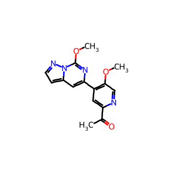 COc1cnc(C(C)=O)cc1-c1cc2ccnn2c(OC)n1